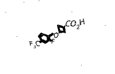 O=C(O)[C@H]1C[C@H](OCc2ccc(C(F)(F)F)cc2F)C1